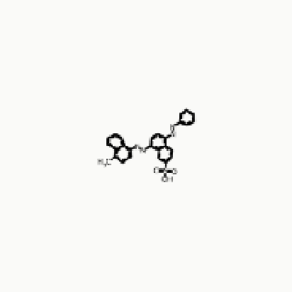 Cc1ccc(/N=N/c2ccc(/N=N/c3ccccc3)c3ccc(S(=O)(=O)O)cc23)c2ccccc12